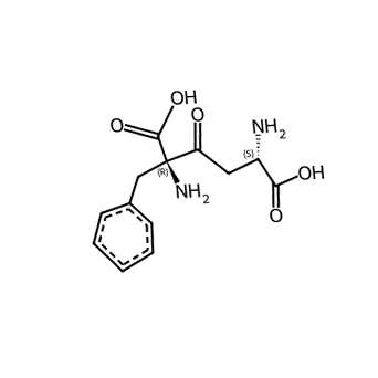 N[C@@H](CC(=O)[C@](N)(Cc1ccccc1)C(=O)O)C(=O)O